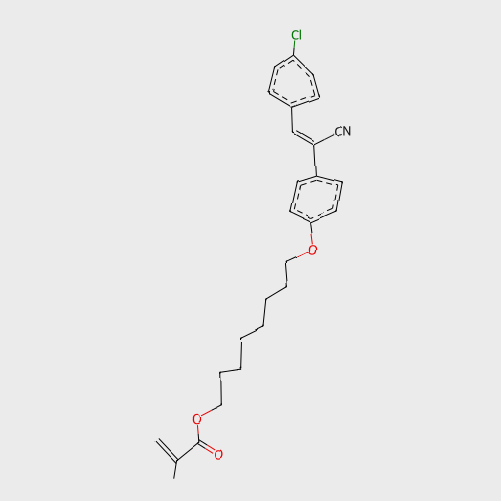 C=C(C)C(=O)OCCCCCCCCOc1ccc(/C(C#N)=C/c2ccc(Cl)cc2)cc1